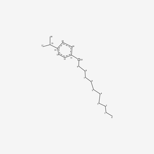 CCCCCCCCCCOc1ccc(C(C)C)cc1